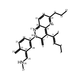 C=C1C(/C(C)=C/CC)=c2nc(CCC)ccc2=NN1c1ccc(=C)/c(=C\NC)c1